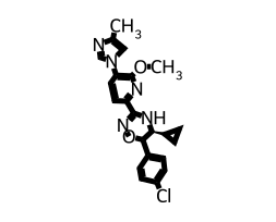 COc1nc(C2=NOC(c3ccc(Cl)cc3)[C@H](C3CC3)N2)ccc1-n1cnc(C)c1